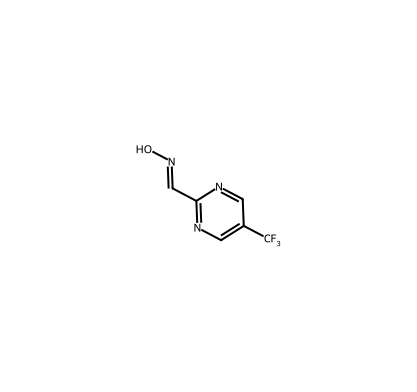 ON=Cc1ncc(C(F)(F)F)cn1